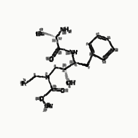 CC(C)CN(C[C@@H](O)[C@H](Cc1ccccc1)NC(=O)[C@@H](N)C(C)(C)C)C(=O)OC(C)(C)C